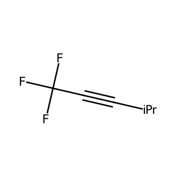 CC(C)C#CC(F)(F)F